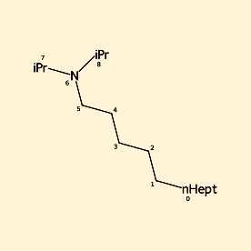 [CH2]CCCCCCCCCCCN(C(C)C)C(C)C